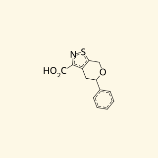 O=C(O)c1nsc2c1CC(c1ccccc1)OC2